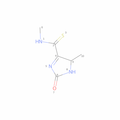 CNC(=S)C1=NC(=O)NC1C